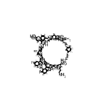 COc1ccc(C[C@@H]2NC(=O)[C@H](CCC/C=C\CO)NC(=O)[C@@H]3C[C@@H]4CC4N3C(=O)[C@H](Cc3c[nH]c4ccc(F)cc34)NC(=O)[C@H](Cc3c[nH]c4ccc(F)cc34)NC(=O)[C@@H](C)NC(=O)[C@H](CCCCN)NC(=O)CCSCc3cccc(c3)CSC[C@@H](C(N)=O)NC(=O)[C@]3(C)CCCN3C2=O)cc1